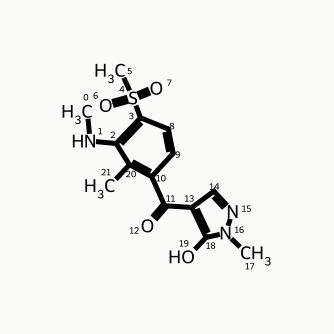 CNc1c(S(C)(=O)=O)ccc(C(=O)c2cnn(C)c2O)c1C